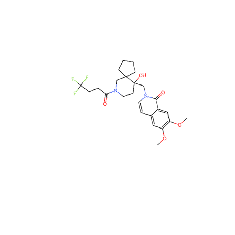 COc1cc2ccn(CC3(O)CCN(C(=O)CCC(F)(F)F)CC34CCCC4)c(=O)c2cc1OC